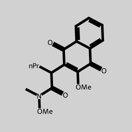 CCCC(C(=O)N(C)OC)C1=C(OC)C(=O)c2ccccc2C1=O